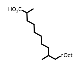 CCCCCCCCCC(C)CCCCCCC(C)C(=O)O